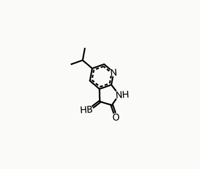 B=C1C(=O)Nc2ncc(C(C)C)cc21